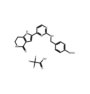 CC(=O)Nc1ccc(CNc2nccc(-c3cc4c([nH]3)CCNC4=O)n2)cc1.O=C(O)C(F)(F)F